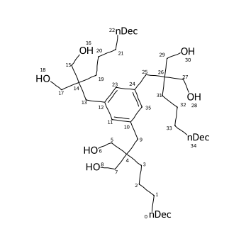 CCCCCCCCCCCCCC(CO)(CO)Cc1cc(CC(CO)(CO)CCCCCCCCCCCCC)cc(CC(CO)(CO)CCCCCCCCCCCCC)c1